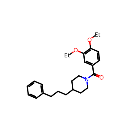 CCOc1ccc(C(=O)N2CCC(CCCc3ccccc3)CC2)cc1OCC